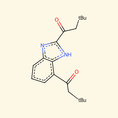 CC(C)(C)CC(=O)c1nc2cccc(C(=O)CC(C)(C)C)c2[nH]1